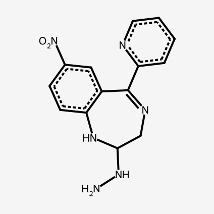 NNC1CN=C(c2ccccn2)c2cc([N+](=O)[O-])ccc2N1